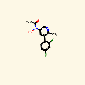 COC(=O)N(O)c1cnc(C)c(-c2ccc(F)cc2F)c1